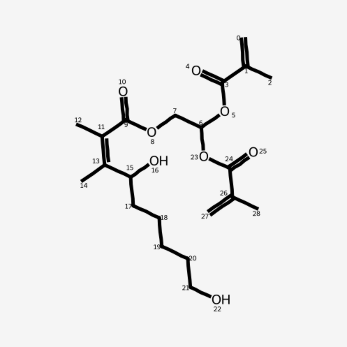 C=C(C)C(=O)OC(COC(=O)C(C)=C(C)C(O)CCCCCO)OC(=O)C(=C)C